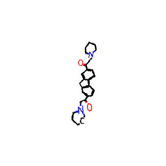 O=C(CN1CCCCC1)c1ccc2c(c1)Cc1cc(C(=O)CN3CCCCC3)ccc1-2